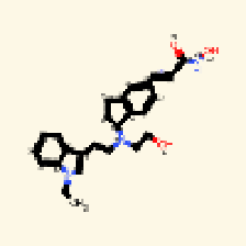 CCn1cc(CCN(CCO)C2CCc3cc(/C=C/C(=O)NO)ccc32)c2ccccc21